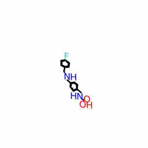 O=C(O)NCc1ccc(CNCc2ccc(F)cc2)cc1